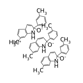 Cc1cccc(C2([O-])C=Cc3ccc(C)cc3N2)c1.Cc1cccc(C2([O-])C=Cc3ccc(C)cc3N2)c1.Cc1cccc(C2([O-])C=Cc3ccc(C)cc3N2)c1.[Ir+3]